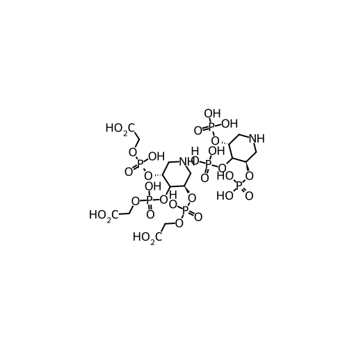 O=C(O)COP(=O)(O)OC1[C@H](OP(=O)(O)OCC(=O)O)CNC[C@H]1OP(=O)(O)OCC(=O)O.O=P(O)(O)OC1[C@H](OP(=O)(O)O)CNC[C@H]1OP(=O)(O)O